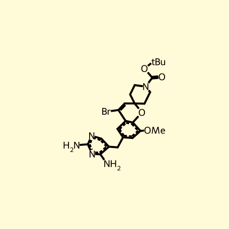 COc1cc(Cc2cnc(N)nc2N)cc2c1OC1(C=C2Br)CCN(C(=O)OC(C)(C)C)CC1